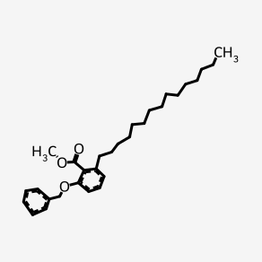 CCCCCCCCCCCCCCCc1cccc(OCc2ccccc2)c1C(=O)OC